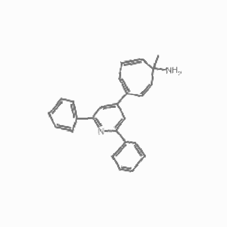 CC1(N)C=CC=C(c2cc(-c3ccccc3)nc(-c3ccccc3)c2)C=C1